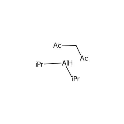 CC(=O)CC(C)=O.C[CH](C)[AlH][CH](C)C